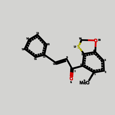 COc1ccc2c(c1C(=O)C=Cc1ccccc1)SCO2